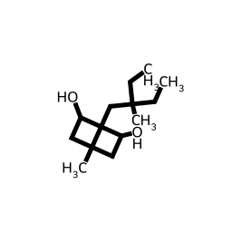 CCC(C)(CC)CC12C(O)CC1(C)CC2O